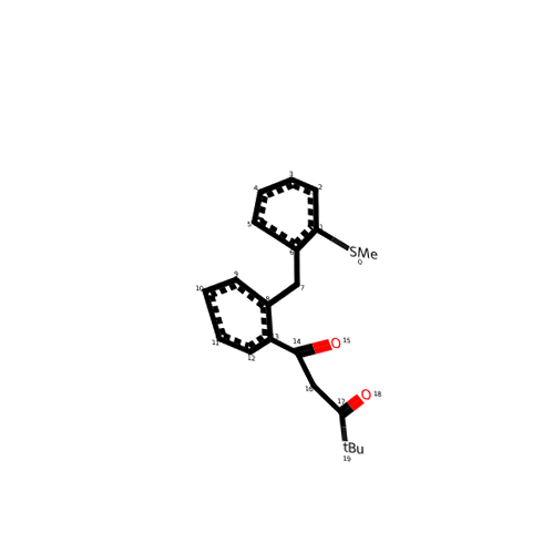 CSc1ccccc1Cc1ccccc1C(=O)CC(=O)C(C)(C)C